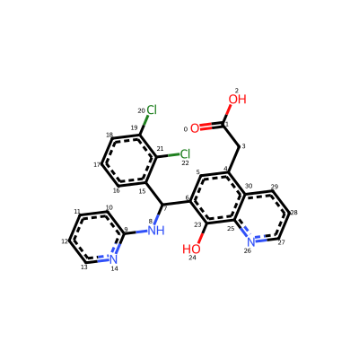 O=C(O)Cc1cc(C(Nc2ccccn2)c2cccc(Cl)c2Cl)c(O)c2ncccc12